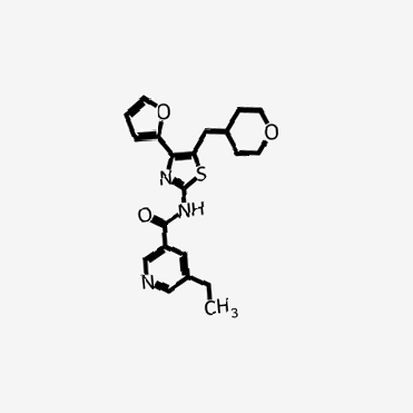 CCc1cncc(C(=O)Nc2nc(-c3ccco3)c(CC3CCOCC3)s2)c1